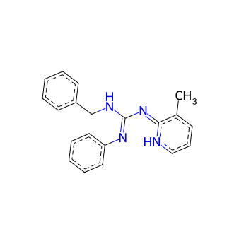 Cc1ccc[nH]c1=NC(=Nc1ccccc1)NCc1ccccc1